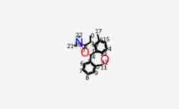 CCC(OC1c2ccccc2COc2ccc(C)cc21)N(C)C